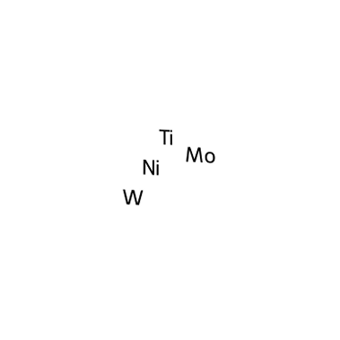 [Mo].[Ni].[Ti].[W]